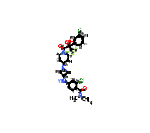 CN(C)C(=O)c1ccc(NC2CN(C3CCN(C(=O)C(O)(c4cccc(Cl)c4)C(F)(F)F)CC3)C2)cc1Cl